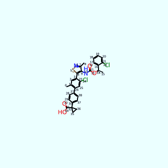 Cc1cc(-c2snc(C)c2NC(=O)O[C@H](C)c2ccccc2Cl)c(Cl)cc1-c1ccc(C2(C(=O)O)CC2)cc1